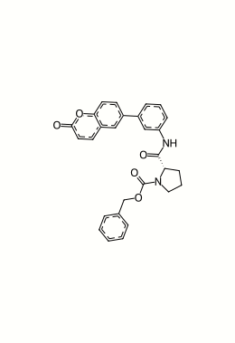 O=C(Nc1cccc(-c2ccc3oc(=O)ccc3c2)c1)[C@@H]1CCCN1C(=O)OCc1ccccc1